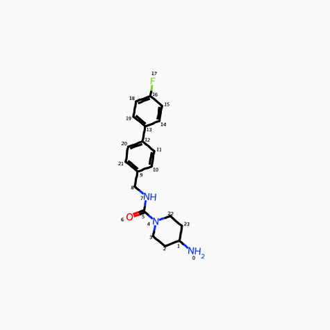 NC1CCN(C(=O)NCc2ccc(-c3ccc(F)cc3)cc2)CC1